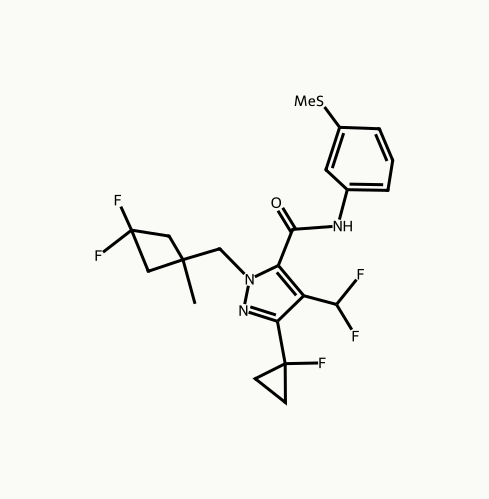 CSc1cccc(NC(=O)c2c(C(F)F)c(C3(F)CC3)nn2CC2(C)CC(F)(F)C2)c1